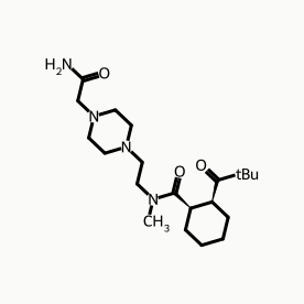 CN(CCN1CCN(CC(N)=O)CC1)C(=O)[C@@H]1CCCC[C@@H]1C(=O)C(C)(C)C